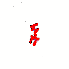 c1ccc(-c2ccc(-c3nc(-n4c5ccc(-c6ccc(-c7ccc(-c8nc(-n9c%10ccccc%10c%10c%11c%12ccccc%12n%12c%13ccc(-c%14ccccc%14)cc%13c(cc%109)c%11%12)nc9c8oc8ccccc89)cc7)cc6)cc5c5c6c7ccccc7n7c8ccc(-c9ccccc9)cc8c(cc54)c67)c4oc5ccccc5c4n3)cc2)cc1